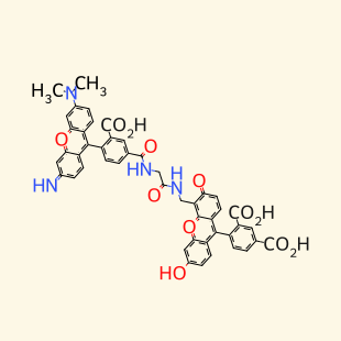 CN(C)c1ccc2c(-c3ccc(C(=O)NCC(=O)NCc4c5oc6cc(O)ccc6c(-c6ccc(C(=O)O)cc6C(=O)O)c-5ccc4=O)cc3C(=O)O)c3ccc(=N)cc-3oc2c1